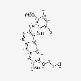 COc1cc(Nc2c(C#N)cnc3cc4cc(OC)c(OCCCl)cc4cc23)c(Cl)cc1C